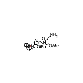 COCCN(CCn1ncc(C(=O)NC2C3CC=C4CCC2C4C3)c1OCC(C)C)C(=O)CCCN